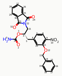 NC(=O)O[C@@H](Cc1ccc([N+](=O)[O-])c(OCc2ccccc2)c1)CN1C(=O)c2ccccc2C1=O